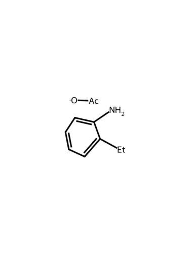 CC([O])=O.CCc1ccccc1N